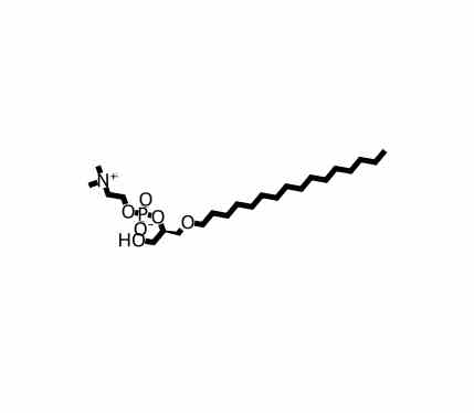 CCCCCCCCCCCCCCCCOC[C@@H](CO)OP(=O)([O-])OCC[N+](C)(C)C